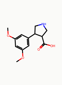 COc1cc(OC)cc(C2CNCC2C(=O)O)c1